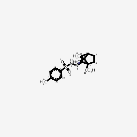 Cc1ccc(S(=O)(=O)N/N=C2\CC3CCC2(C(=O)O)C3(C)C)cc1